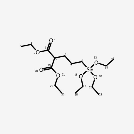 CCOC(=O)C(CCC[Si](OCC)(OCC)OCC)C(=O)OCC